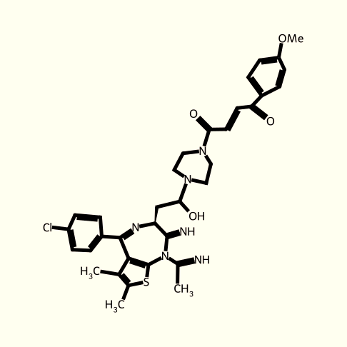 COc1ccc(C(=O)/C=C/C(=O)N2CCN(C(O)C[C@@H]3N=C(c4ccc(Cl)cc4)c4c(sc(C)c4C)N(C(C)=N)C3=N)CC2)cc1